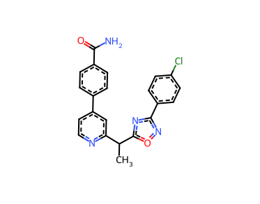 CC(c1cc(-c2ccc(C(N)=O)cc2)ccn1)c1nc(-c2ccc(Cl)cc2)no1